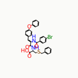 O=C(NC(CSCc1ccccc1)C(=O)O)C(=Cc1ccc(Oc2ccccc2)cc1)NC(=O)c1ccc(Br)cc1